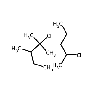 CCC(C)C(C)(C)Cl.CCCC(C)Cl